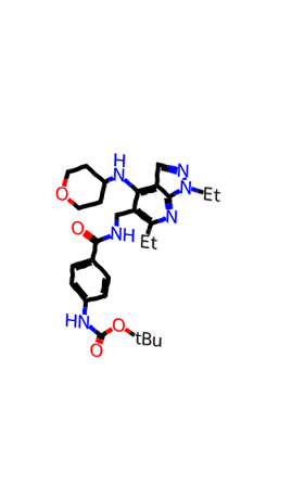 CCc1nc2c(cnn2CC)c(NC2CCOCC2)c1CNC(=O)c1ccc(NC(=O)OC(C)(C)C)cc1